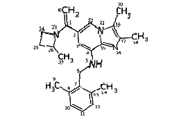 C=C(c1cc(NCc2c(C)cccc2C)c2nc(C)c(C)n2c1)N1CCC1C